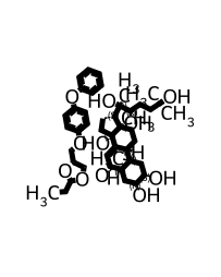 CC(C)(O)CC[C@@H](O)[C@](C)(O)[C@H]1CC[C@@]2(O)C3=CC(=O)[C@@H]4C[C@@H](O)[C@@H](O)C[C@]4(C)[C@H]3CC[C@]12C.CCC1OCC(COc2ccc(Oc3ccccc3)cc2)O1